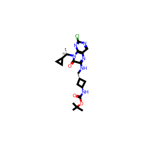 C[C@@H](C1CC1)n1c(=O)c(NC[C@H]2C[C@H](NC(=O)OC(C)(C)C)C2)nc2cnc(Cl)nc21